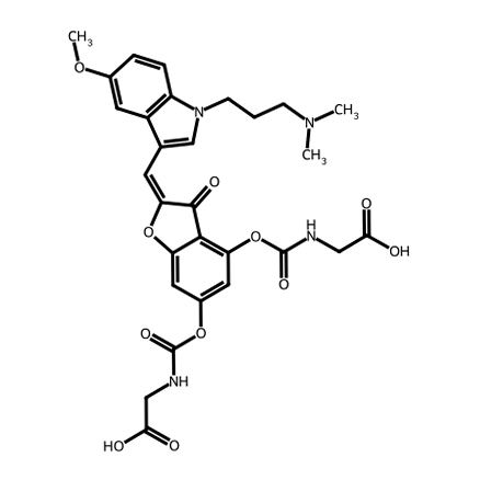 COc1ccc2c(c1)c(C=C1Oc3cc(OC(=O)NCC(=O)O)cc(OC(=O)NCC(=O)O)c3C1=O)cn2CCCN(C)C